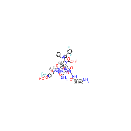 CC(=O)N[C@@H](CCCCN)C(=O)NCCNC(=O)[C@H](CCN(C(=O)CO)[C@@H](c1cc(-c2cc(F)ccc2F)cn1Cc1ccccc1)C(C)(C)C)NC(=O)[C@H](CC(N)=O)NC(=O)[C@@H](C)NC(=O)[C@H](C)NC(=O)Cc1ccncc1.O=C(O)C(F)(F)F